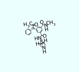 CNC(=O)c1cc(C(=O)N[C@H]2[C@@H]3CNC[C@@H]32)cc2c1O[C@H](C)[C@H]2c1ccccc1